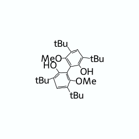 COc1c(C(C)(C)C)cc(C(C)(C)C)c(O)c1-c1c(O)c(C(C)(C)C)cc(C(C)(C)C)c1OC